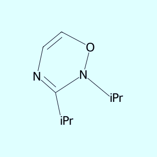 CC(C)C1=NC=CON1C(C)C